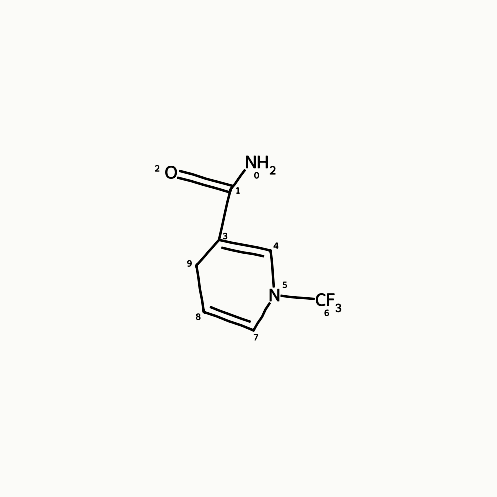 NC(=O)C1=CN(C(F)(F)F)C=CC1